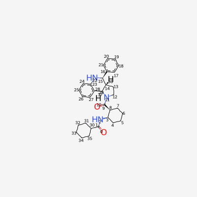 O=C(N[C@@H]1CCCC[C@@H]1C(=O)N1CC[C@H]2[C@H](c3ccccc3)Nc3ccccc3[C@@H]21)C1CCCCC1